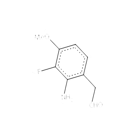 COc1ccc(CC=O)c(N)c1F